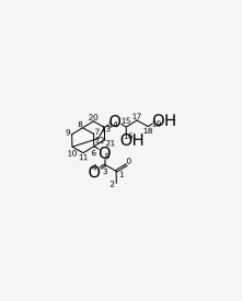 C=C(C)C(=O)OC12CC3CC(C1)CC(OC(O)CCO)(C3)C2